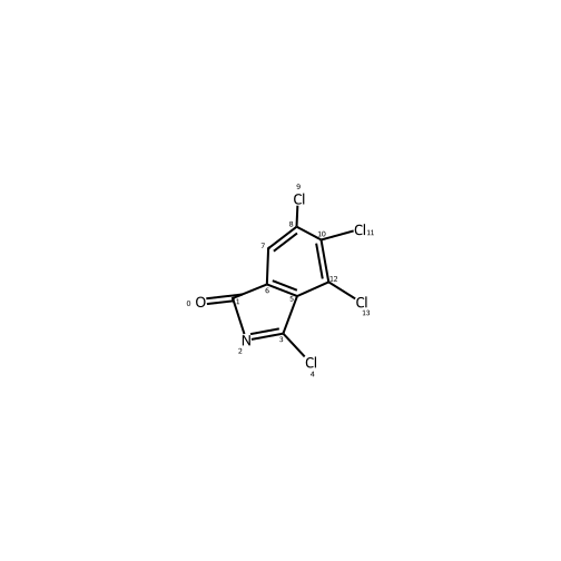 O=C1N=C(Cl)c2c1cc(Cl)c(Cl)c2Cl